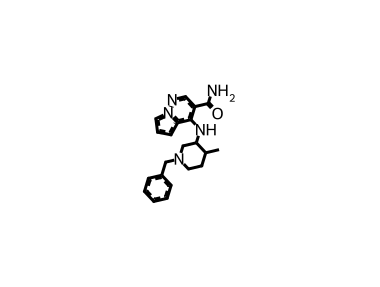 CC1CCN(Cc2ccccc2)CC1Nc1c(C(N)=O)cnn2cccc12